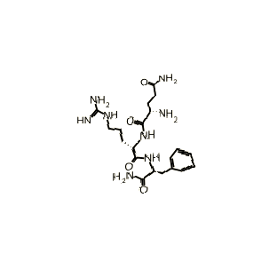 N=C(N)NCCC[C@H](NC(=O)[C@@H](N)CCC(N)=O)C(=O)N[C@@H](Cc1ccccc1)C(N)=O